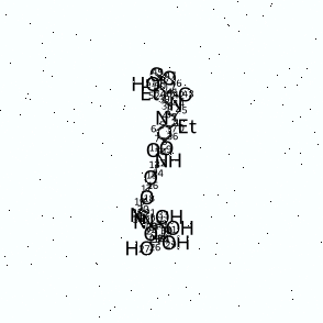 CCc1c2c(nc3ccc(OC(=O)NCCOCCOCc4cn([C@H]5O[C@@H](CO)[C@H](O)[C@@H](O)[C@@H]5O)nn4)cc13)-c1cc3c(c(=O)n1C2)COC(=O)[C@]3(O)CC